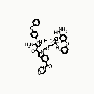 C[Si](C)(C)CCOCn1c(C(=O)c2cnn(-c3ccc(Oc4ccccc4)cc3)c2N)cc2cc(C(=O)N3CCOCC3)ccc21.NNc1ccc(Oc2ccccc2)cc1